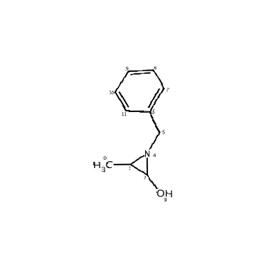 CC1C(O)N1Cc1ccccc1